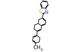 CC1=CC=C(C2=CC3=CC=C(c4nc5ccccc5s4)CC3CC2)CC1